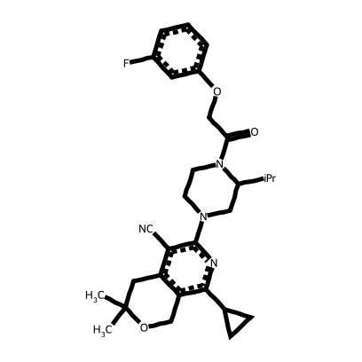 CC(C)C1CN(c2nc(C3CC3)c3c(c2C#N)CC(C)(C)OC3)CCN1C(=O)COc1cccc(F)c1